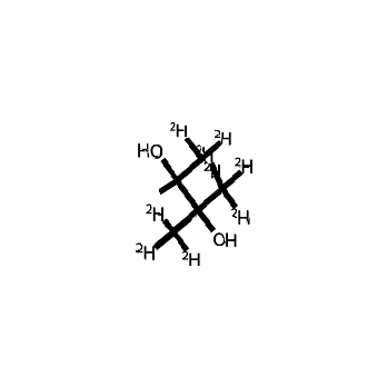 [2H]C([2H])([2H])C(C)(O)C(O)(C([2H])([2H])[2H])C([2H])([2H])[2H]